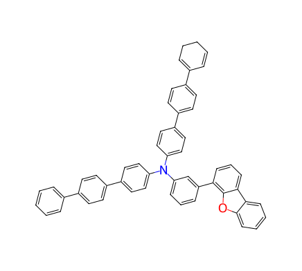 C1=CC(c2ccc(-c3ccc(N(c4ccc(-c5ccc(-c6ccccc6)cc5)cc4)c4cccc(-c5cccc6c5oc5ccccc56)c4)cc3)cc2)=CCC1